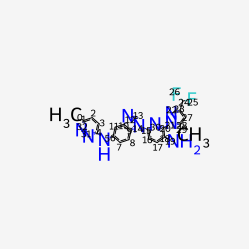 Cc1ccc(Nc2ccc3c(c2)ncn3-c2ccc(N)c(-n3nc(C(F)F)cc3C)n2)nn1